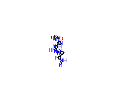 CCCCC(=O)Nc1cncc(-c2cnc3[nH]nc(-c4nc5c(-c6cc(F)cc(NCCN(C)C)c6)cccc5[nH]4)c3c2)c1